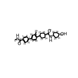 CNC(=O)c1ccc(-c2ccc(C3CCC(C(=O)N[C@H]4CC[C@@H](O)CC4)CC3)c(C)c2)cc1